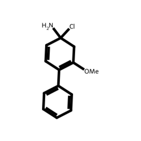 COC1=C(c2ccccc2)C=CC(N)(Cl)C1